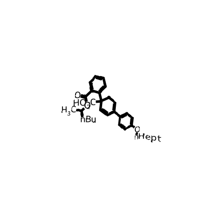 CCCCCCCOc1ccc(C2=CCC(C(=O)O)(c3ccccc3C(=O)OC(C)CCCC)C=C2)cc1